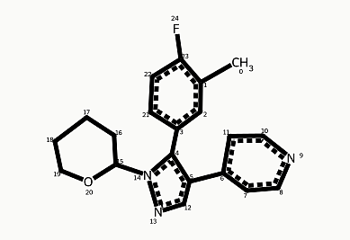 Cc1cc(-c2c(-c3ccncc3)cnn2C2CCCCO2)ccc1F